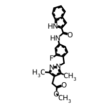 COC(=O)Cc1c(C)nn(Cc2ccc(NC(=O)c3cc4ccccc4[nH]3)cc2F)c1C